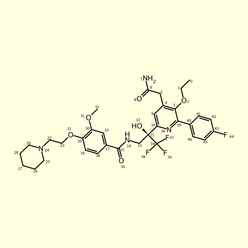 CCOc1c(CC(N)=O)cc([C@@](O)(CNC(=O)c2ccc(OCCN3CCCCC3)c(OC)c2)C(F)(F)F)nc1-c1ccc(F)cc1